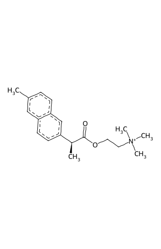 Cc1ccc2cc([C@H](C)C(=O)OCC[N+](C)(C)C)ccc2c1